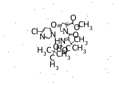 COC(=O)[C@@H]1C[C@@H](Oc2cc(Cl)ncn2)CN1C(=O)[C@@H](NC(=O)OC(C)(C)C)C(C)(C)C